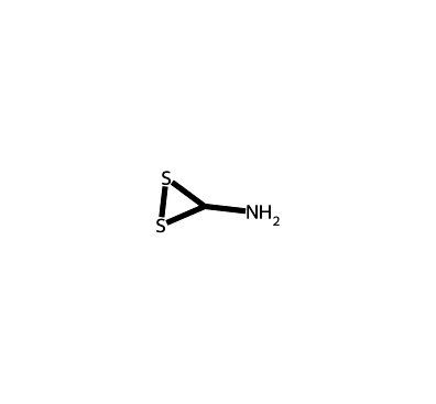 NC1SS1